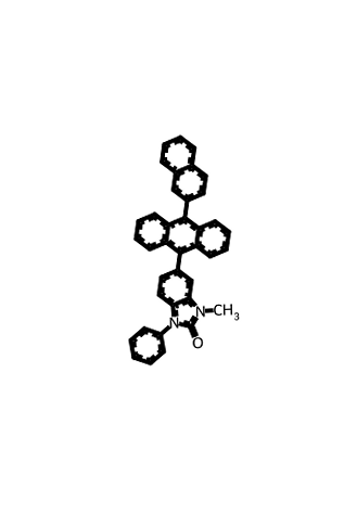 Cn1c(=O)n(-c2ccccc2)c2ccc(-c3c4ccccc4c(-c4ccc5ccccc5c4)c4ccccc34)cc21